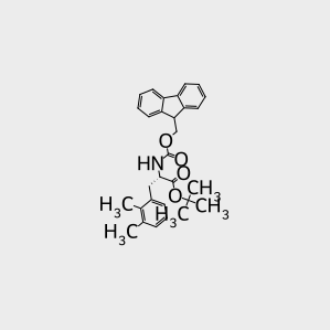 Cc1cccc(C[C@H](NC(=O)OCC2c3ccccc3-c3ccccc32)C(=O)OC(C)(C)C)c1C